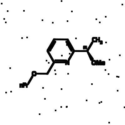 CCCOCc1cccc([C@@H](C)OC)n1